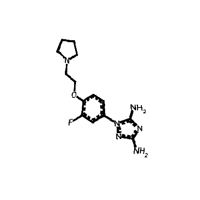 Nc1nc(N)n(-c2ccc(OCCN3CCCC3)c(F)c2)n1